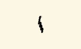 C=CCc1ccc(-c2ccc(-c3ncc(CCCCCC(C)F)cn3)cc2)cc1